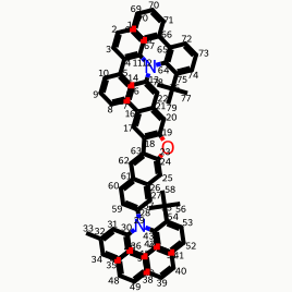 Cc1ccc(-c2ccccc2)c(N(c2ccc3cc4c(cc3c2)oc2cc3cc(N(c5cc(C)ccc5-c5ccccc5)c5c(-c6ccccc6)cccc5C(C)(C)C)ccc3cc24)c2c(-c3ccccc3)cccc2C(C)(C)C)c1